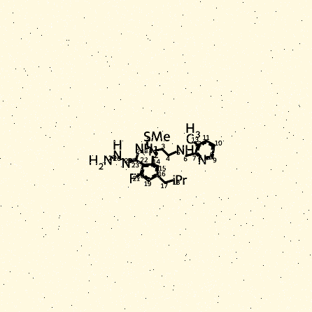 CSCN(CCNCc1ncccc1C)c1cc(CC(C)C)cc(F)c1/C(N)=N/NN